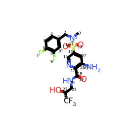 CN(Cc1ccc(F)c(F)c1)S(=O)(=O)c1cnc(C(=O)NCC(O)C(F)(F)F)c(N)c1